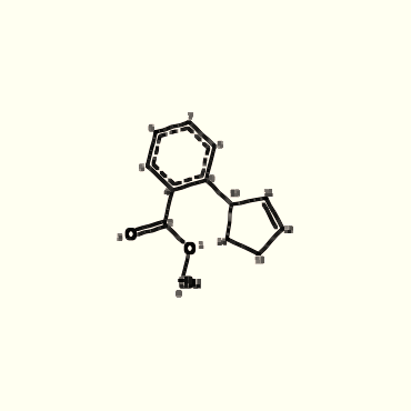 CC(C)(C)OC(=O)c1ccccc1C1C=CCC1